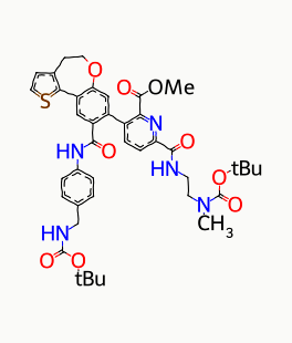 COC(=O)c1nc(C(=O)NCCN(C)C(=O)OC(C)(C)C)ccc1-c1cc2c(cc1C(=O)Nc1ccc(CNC(=O)OC(C)(C)C)cc1)-c1sccc1CCO2